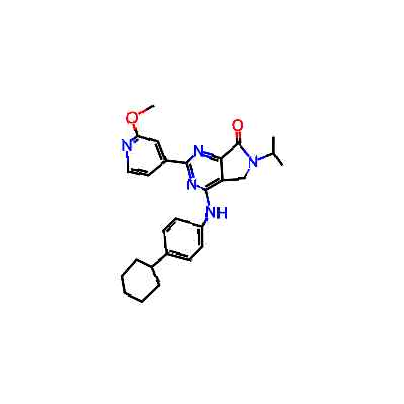 COc1cc(-c2nc(Nc3ccc(C4CCCCC4)cc3)c3c(n2)C(=O)N(C(C)C)C3)ccn1